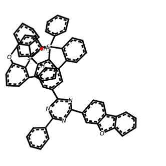 C[Si]1(C)c2ccccc2Oc2cccc(-c3cc(-c4nc(-c5ccccc5)nc(-c5ccc6c(c5)oc5ccccc56)n4)cc(-c4ccccc4[Si](c4ccccc4)(c4ccccc4)c4ccccc4)c3)c21